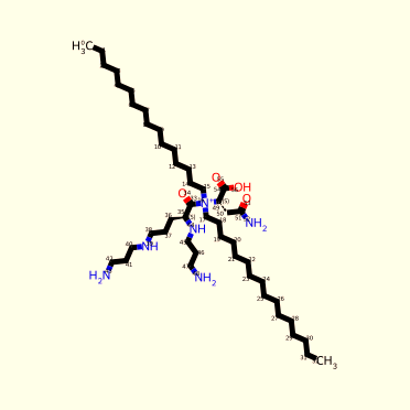 CCCCCCCCCCCCCCCC[N+](CCCCCCCCCCCCCCCC)(C(=O)[C@H](CCCNCCCN)NCCCN)[C@@H](CC(N)=O)C(=O)O